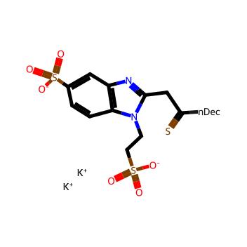 CCCCCCCCCCC(=S)Cc1nc2cc(S(=O)(=O)[O-])ccc2n1CCS(=O)(=O)[O-].[K+].[K+]